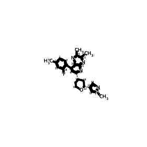 Cc1ccc(-c2cc([C@H]3CCO[C@@H](c4cnn(C)c4)C3)nc3nc(C)c(C)nc23)c(F)c1